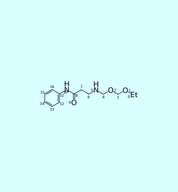 CCOCOCNCCC(=O)Nc1ccccc1